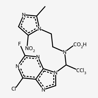 Cc1ncc([N+](=O)[O-])n1CCN(C(=O)O)C(n1cnc2c(Cl)nc(F)nc21)C(Cl)(Cl)Cl